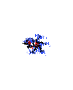 CN[C@@H](CCCNC(=N)N)C(=O)N[C@@H](CCCCN)C(=O)N[C@@H](CCCNC(=N)N)C(=O)N[C@@H](CCCNC(=N)N)C(=O)N[C@@H](CCCNC(=N)N)C(=O)N[C@@H](CC(C)C)C(=O)N[C@@H](CC(C)C)C(=O)N[C@@H](C)C(N)=O